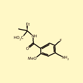 CC[C@@](C)(NC(=O)c1cc(F)c(N)cc1OC)C(=O)O